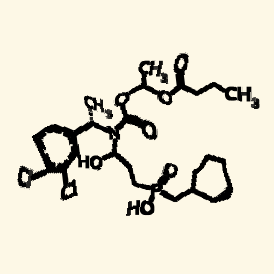 CCCC(=O)OC(C)OC(=O)N(C(O)CCP(=O)(O)CC1CCCCC1)[C@@H](C)c1ccc(Cl)c(Cl)c1